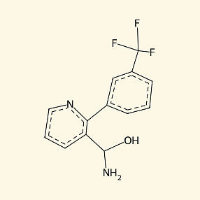 NC(O)c1cccnc1-c1cccc(C(F)(F)F)c1